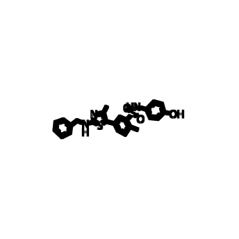 Cc1ccc(-c2sc(NCc3ccccc3)nc2C)cc1S(=O)(=O)Nc1ccc(O)cc1